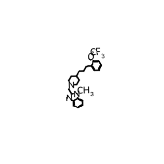 Cn1c(CN2CCC(CCCc3ccccc3OC(F)(F)F)CC2)nc2ccccc21